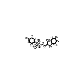 Cc1ccc(S(=O)(=O)OCCC2Cc3ccccc3C2)cc1